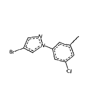 Cc1cc(Cl)cc(-n2cc(Br)cn2)c1